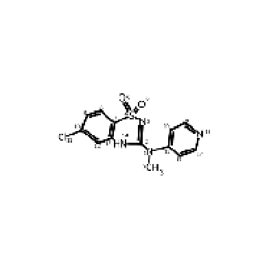 CN(C1=NS(=O)(=O)c2ccc(Cl)cc2N1)c1ccncc1